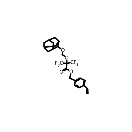 C=Cc1ccc(COC(=O)C(OCOC2C3CC4CC(C3)CC2C4)(C(F)(F)F)C(F)(F)F)cc1